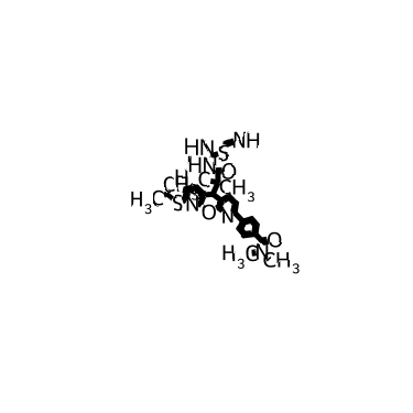 CC(C)Sc1ccc2c(n1)Oc1nc(-c3ccc(C(=O)N(C)C)cc3)ccc1C2C(C)(C)C(=O)NC(=N)SC=N